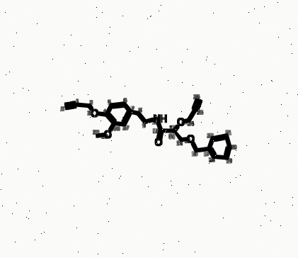 C#CCOc1ccc(CCNC(=O)[C@H](COCc2ccccc2)OCC#C)cc1OC